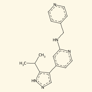 CC(C)c1[nH]ncc1-c1ccnc(NCc2ccncc2)c1